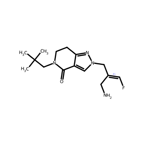 CC(C)(C)CN1CCc2nn(C/C(=C/F)CN)cc2C1=O